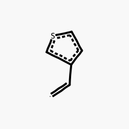 [CH]=Cc1ccsc1